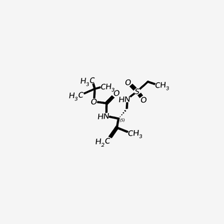 C=C(C)[C@@H](CNS(=O)(=O)CC)NC(=O)OC(C)(C)C